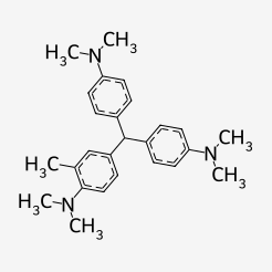 Cc1cc(C(c2ccc(N(C)C)cc2)c2ccc(N(C)C)cc2)ccc1N(C)C